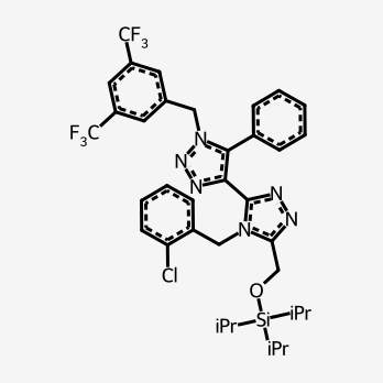 CC(C)[Si](OCc1nnc(-c2nnn(Cc3cc(C(F)(F)F)cc(C(F)(F)F)c3)c2-c2ccccc2)n1Cc1ccccc1Cl)(C(C)C)C(C)C